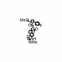 CNC(=O)NC1=CC=C2C(CCC23CN(CC(=O)N2[C@@H](COC)CC[C@H]2c2ccc(F)cc2)C(=O)O3)C1=O